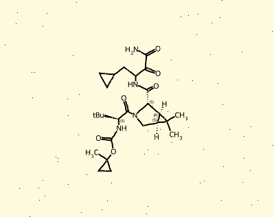 CC1(OC(=O)N[C@H](C(=O)N2C[C@H]3[C@@H]([C@H]2C(=O)NC(CC2CC2)C(=O)C(N)=O)C3(C)C)C(C)(C)C)CC1